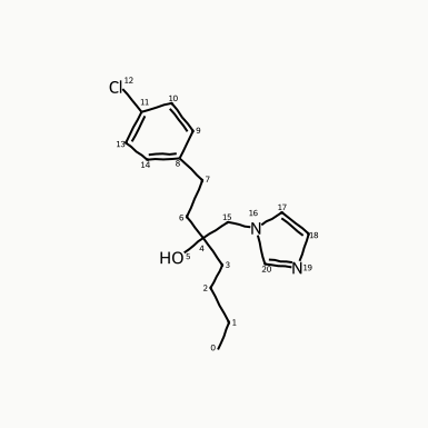 CCCCC(O)(CCc1ccc(Cl)cc1)Cn1ccnc1